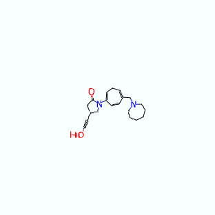 O=C1CC(C#CO)CN1C1=CCC=C(CN2CCCCCC2)C=C1